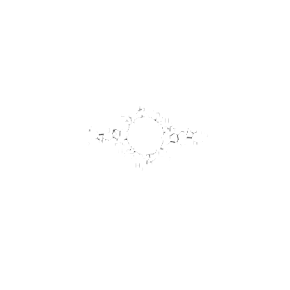 CCCc1c(C)nn(Cc2ccc(C[C@H]3OC(=O)[C@H](CC(C)C)N(C)C(=O)[C@@H](C)OC(=O)[C@H](CC(C)C)N(C)C(=O)[C@@H](Cc4ccc(Cn5nc(C)c(CCC)c5C)cc4)OC(=O)[C@H](CC(C)C)N(C)C(=O)[C@@H](C)OC(=O)[C@H](CC(C)C)N(C)C3=O)cc2)c1C